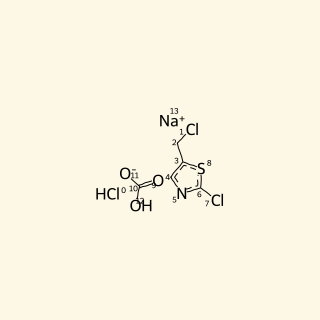 Cl.ClCc1cnc(Cl)s1.O=C([O-])O.[Na+]